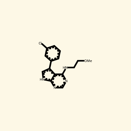 COCCNc1ncnc2[nH]cc(-c3cccc(Cl)c3)c12